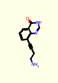 NCCC#Cc1cccc2c(=O)[nH]cnc12